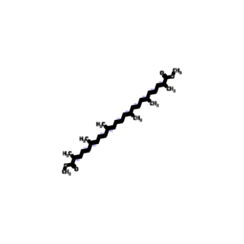 COC(=O)/C(C)=C/C=C/C(C)=C/C=C/C(C)=C/C=C/C=C(C)/C=C/C=C(C)/C=C/C=C(\C)C(=O)OC